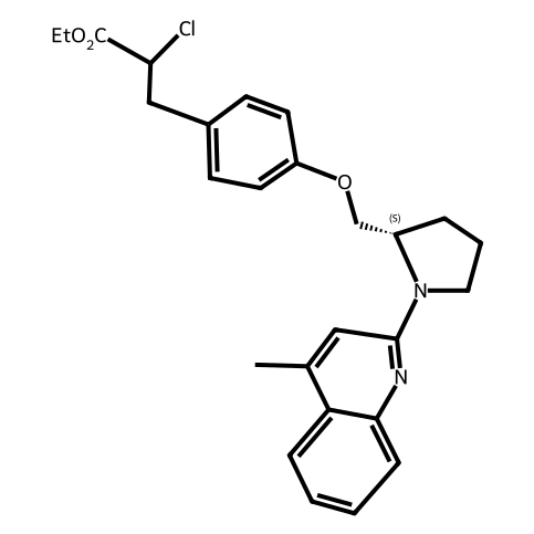 CCOC(=O)C(Cl)Cc1ccc(OC[C@@H]2CCCN2c2cc(C)c3ccccc3n2)cc1